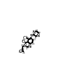 O=c1c2c(Cl)c(Sc3cnccn3)ccc2ncn1CC1CO1